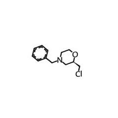 ClC[C@H]1CN(Cc2ccccc2)CCO1